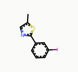 Cc1cnc(-c2cccc(I)c2)s1